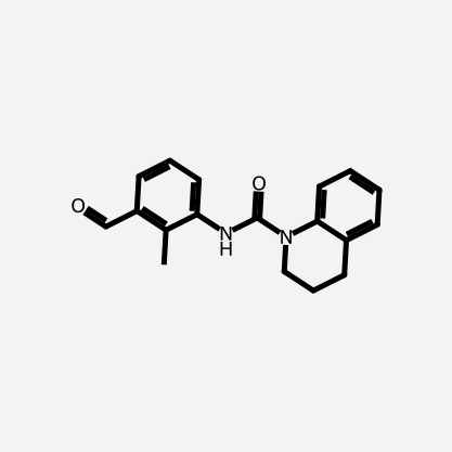 Cc1c(C=O)cccc1NC(=O)N1CCCc2ccccc21